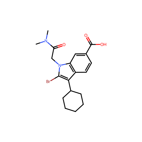 CN(C)C(=O)Cn1c(Br)c(C2CCCCC2)c2ccc(C(=O)O)cc21